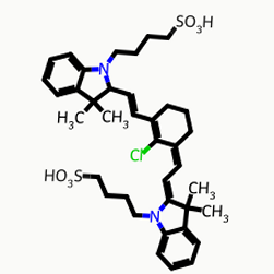 CC1(C)C(=CC=C2CCCC(C=CC3N(CCCCS(=O)(=O)O)c4ccccc4C3(C)C)=C2Cl)N(CCCCS(=O)(=O)O)c2ccccc21